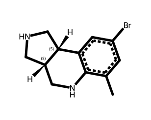 Cc1cc(Br)cc2c1NC[C@@H]1CNC[C@H]21